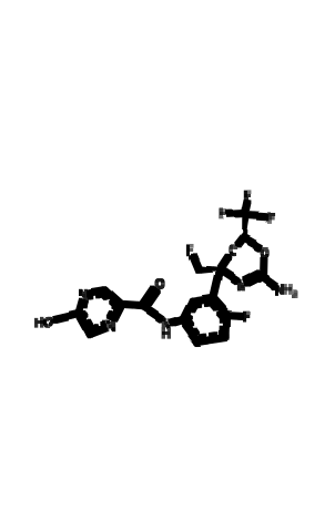 NC1=N[C@](CF)(c2cc(NC(=O)c3cnc(O)cn3)ccc2F)C[C@@H](C(F)(F)F)O1